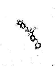 COC(=O)c1ccc(CNS(=O)(=O)C(C)c2cccc(CN3CCNCC3)c2)nc1.Cl